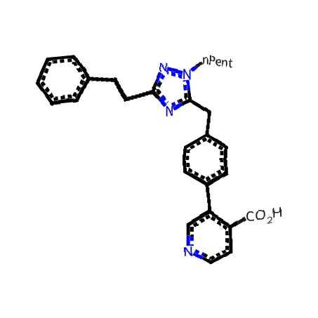 CCCCCn1nc(CCc2ccccc2)nc1Cc1ccc(-c2cnccc2C(=O)O)cc1